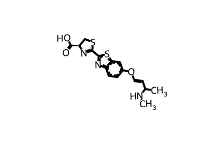 CNC(C)/C=C/Oc1ccc2nc(C3=N[C@@H](C(=O)O)CS3)sc2c1